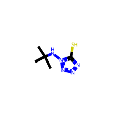 CC(C)(C)Nn1nnnc1S